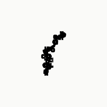 Cc1cc(-n2ccnc2)c2cccc(OC(C)c3c(Cl)ccc(-n4cccc4CNC(=O)C=Cc4ccc(C(=O)NCc5ccccn5)cc4)c3Cl)c2n1